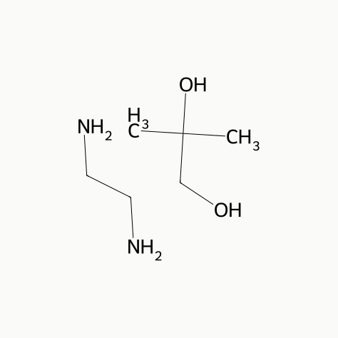 CC(C)(O)CO.NCCN